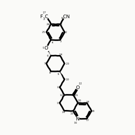 N#Cc1ccc(O[C@H]2CC[C@H](CCC3CCc4ncccc4C3=O)CC2)cc1C(F)(F)F